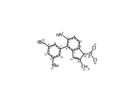 CCCc1ccc2c(c1-c1cc(C(C)(C)C)cc(C(C)(C)C)c1)C=C(C)[CH]2[Zr]([Cl])[Cl]